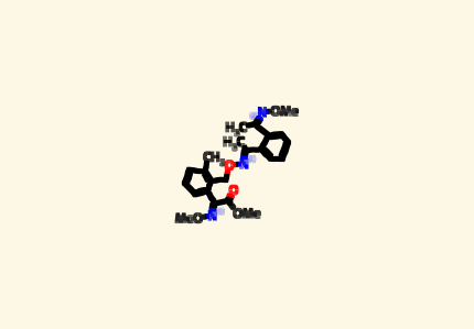 CO/N=C(/C)c1ccccc1/C(C)=N/OCc1c(C)cccc1/C(=N\OC)C(=O)OC